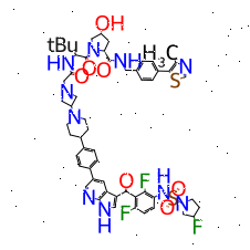 Cc1ncsc1-c1ccc(CNC(=O)[C@@H]2C[C@@H](O)CN2C(=O)[C@@H](NC(=O)CN2CC(N3CCC(c4ccc(-c5cnc6[nH]cc(C(=O)c7c(F)ccc(NS(=O)(=O)N8CC[C@@H](F)C8)c7F)c6c5)cc4)CC3)C2)C(C)(C)C)cc1